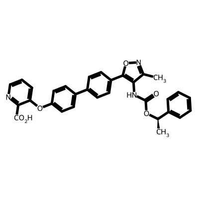 Cc1noc(-c2ccc(-c3ccc(Oc4cccnc4C(=O)O)cc3)cc2)c1NC(=O)O[C@H](C)c1ccccc1